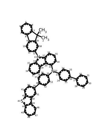 CC1(C)c2ccccc2-c2ccc(-n3c4ccccc4c4c(N(c5ccc(-c6ccccc6)cc5)c5ccc(-c6ccc7sc8ccccc8c7c6)cc5)cccc43)cc21